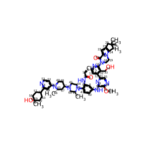 C=CC(=O)Nc1cc(Nc2nc(-c3ccnc(N4CCn5c(cc6c5CC(C)(C)C6)C4=O)c3CO)cnc2OC)ccc1N1CCN(C2CCN(c3ccnc(C4CCC(C)(O)CC4)c3)[C@@H](C)C2)C[C@@H]1C